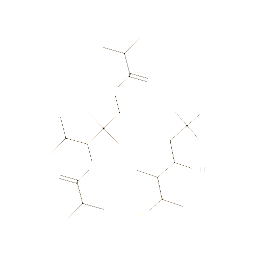 CC(C)C(=O)OCC(C)(C)C(OC(=O)C(C)C)C(C)C.CC(O)C(C)C(O)CC(F)(F)F